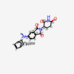 CN[C@@H]1C2C=CC(C2)[C@@H]1N(C)c1ccc2c(c1)C(=O)N(C1CCC(=O)NC1=O)C2=O